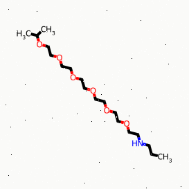 CCCNCCOCCOCCOCCOCCOCCOC(C)C